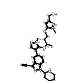 C#Cc1nn(C2CCCCO2)c2ccc(-c3cnn(C)c3OC(C)CCOc3cc(CO)nn3C)cc12